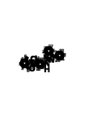 Cc1cccc(C)c1NC(=O)c1ccc(Nc2nc(-c3ccccc3)c3ccccc3n2)cc1Cl